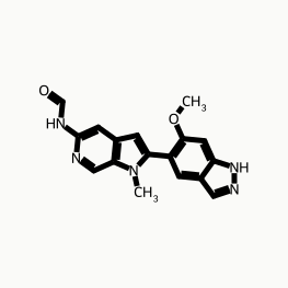 COc1cc2[nH]ncc2cc1-c1cc2cc(NC=O)ncc2n1C